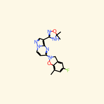 Cc1cc(F)cc2c1ON(c1ccn3ncc(C4=NOC(C)(C)N4)c3n1)C2